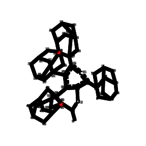 CC(Oc1c(C23CC4CC(CC(C4)C2)C3)cc(C23CC4CC(CC(C4)C2)C3)c(C23CC4CC(CC(C4)C2)C3)c1C12CC3CC(CC(C3)C1)C2)C1CO1